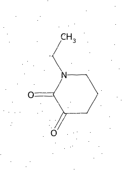 C[CH]N1CCCC(=O)C1=O